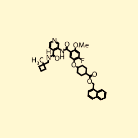 COc1cc(F)c(OC2CCC(C(=O)OCc3cccc4ccccc34)CC2)cc1C(=O)Nc1cnccc1C(=O)NCC1(C)CCC1